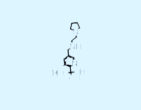 Cc1cc(CNCCN2CCCC2)cnc1C(C)(C)C